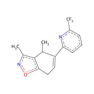 Cc1noc2c1C(C)C(c1cccc(C(F)(F)F)n1)=CC2